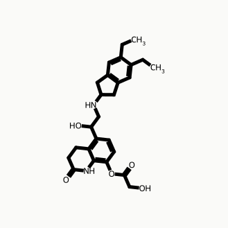 CCc1cc2c(cc1CC)CC(NCC(O)c1ccc(OC(=O)CO)c3c1CCC(=O)N3)C2